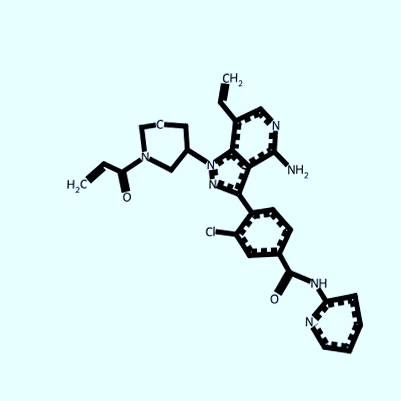 C=CC(=O)N1CCCC(n2nc(-c3ccc(C(=O)Nc4ccccn4)cc3Cl)c3c(N)ncc(C=C)c32)C1